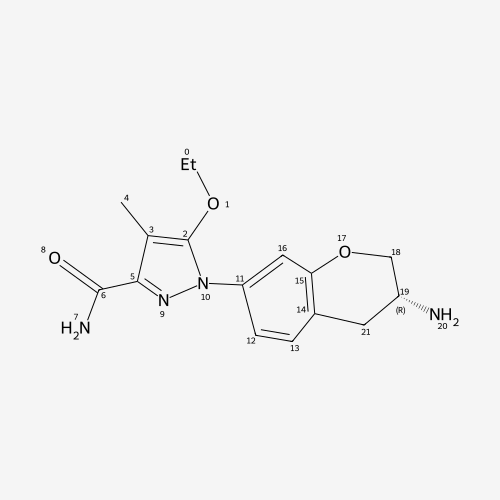 CCOc1c(C)c(C(N)=O)nn1-c1ccc2c(c1)OC[C@H](N)C2